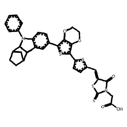 O=C(O)CN1C(=O)/C(=C/c2ccc(-c3sc(-c4ccc5c(c4)C4C6CCC(C6)C4N5c4ccccc4)c4c3OCCO4)s2)SC1=S